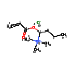 C=CC(=O)OC(CCC)[N+](C)(C)C.[Cl-]